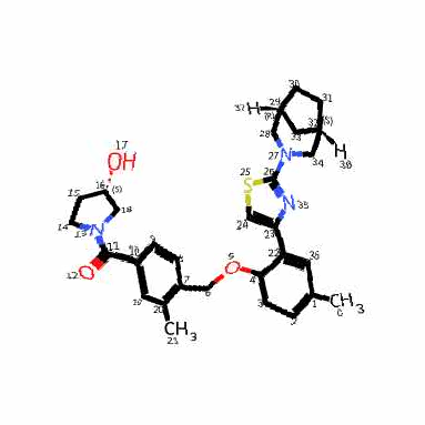 CC1=CCC(OCc2ccc(C(=O)N3CC[C@H](O)C3)cc2C)C(c2csc(N3C[C@@H]4CC[C@@H](C4)C3)n2)=C1